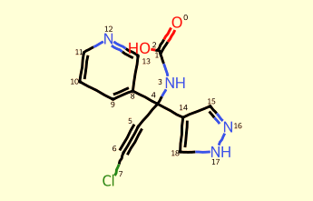 O=C(O)NC(C#CCl)(c1cccnc1)c1cn[nH]c1